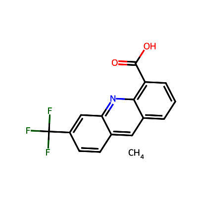 C.O=C(O)c1cccc2cc3ccc(C(F)(F)F)cc3nc12